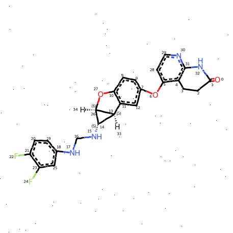 O=C1CCc2c(Oc3ccc4c(c3)[C@H]3[C@H](NCNc5ccc(F)c(F)c5)[C@H]3O4)ccnc2N1